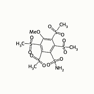 COc1c(S(C)(=O)=O)c(S(C)(=O)=O)c(S(N)(=O)=O)c(S(C)(=O)=O)c1S(C)(=O)=O